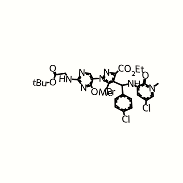 CCOC(=O)c1nn(-c2cnc(NCC(=O)OC(C)(C)C)nc2OC)c(C(C)C)c1C(Nc1cc(Cl)cn(C)c1=O)c1ccc(Cl)cc1